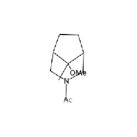 COC1(C)C2CCC1CN(C(C)=O)C2